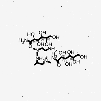 CC(N)CN(C)C.CN(C)CCN.NC(=O)[C@H](O)[C@@H](O)[C@H](O)[C@H](O)CO.NC(=O)[C@H](O)[C@@H](O)[C@H](O)[C@H](O)CO